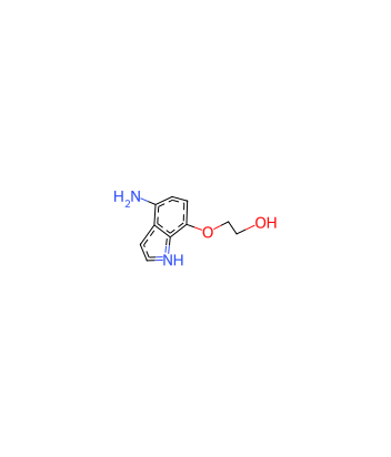 Nc1ccc(OCCO)c2[nH]ccc12